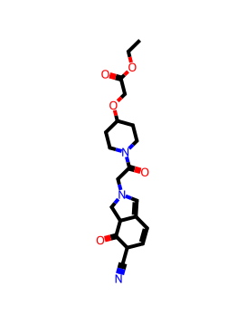 CCOC(=O)COC1CCN(C(=O)CN2C=C3C=CC(C#N)C(=O)C3C2)CC1